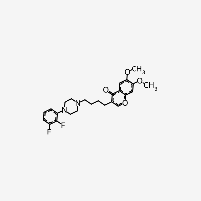 COc1cc2occ(CCCCN3CCN(c4cccc(F)c4F)CC3)c(=O)c2cc1OC